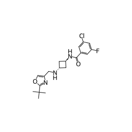 CC(C)(C)c1nc(CN[C@H]2C[C@H](NC(=O)c3cc(F)cc(Cl)c3)C2)co1